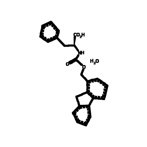 O.O=C(N[C@@H](Cc1ccccc1)C(=O)O)OCc1cccc2c1Cc1ccccc1-2